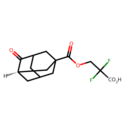 O=C1C2CC3C[C@@H]1CC(C(=O)OCC(F)(F)C(=O)O)(C3)C2